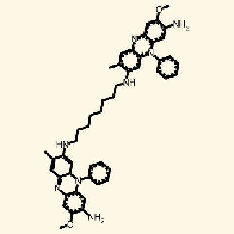 COc1cc2c(cc1N)N(c1ccccc1)C1C=C(NCCCCCCCCNc3cc4c(cc3C)nc3cc(OC)c(N)cc3[n+]4-c3ccccc3)C(C)=CC1=N2